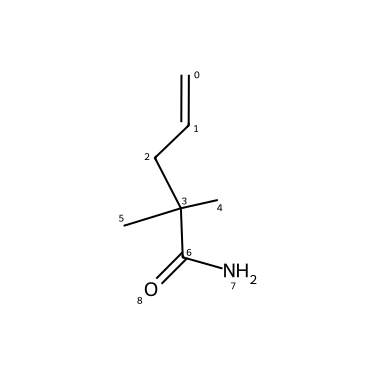 C=CCC(C)(C)C(N)=O